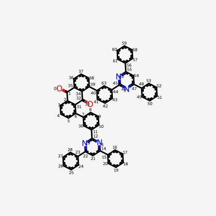 O=C1c2cccc(-c3cccc(-c4nc(-c5ccccc5)cc(-c5ccccc5)n4)c3)c2C(=O)c2c1cccc2-c1cccc(-c2nc(-c3ccccc3)cc(-c3ccccc3)n2)c1